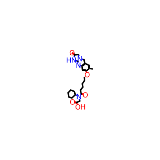 Cc1cc2c(cc1OCCCCCC(=O)N(CC(=O)O)C1CCCCC1)N=C1NC(=O)CN1C2